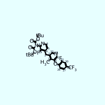 Cc1c(Cc2ccnc(N(C(=O)OC(C)(C)C)C(=O)OC(C)(C)C)c2F)cncc1Oc1ccc(C(F)(F)F)cc1F